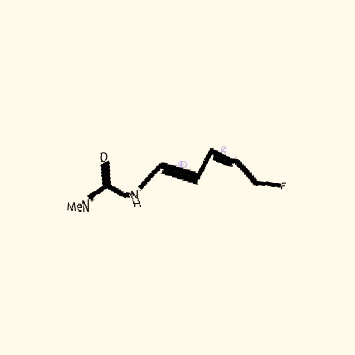 CNC(=O)N/C=C/C=C\CF